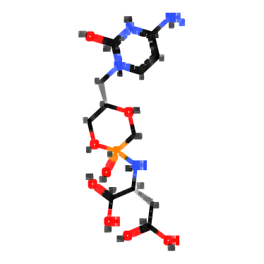 Nc1ccn(C[C@H]2COP(=O)(N[C@H](CC(=O)O)C(=O)O)CO2)c(=O)n1